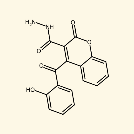 NNC(=O)c1c(C(=O)c2ccccc2O)c2ccccc2oc1=O